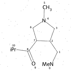 CNCC1CN(C)CC1C(=O)C(C)C